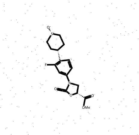 COC(=O)[C@H]1CN(c2ccc([C@H]3CC[S@@+]([O-])CC3)c(F)c2)C(=O)O1